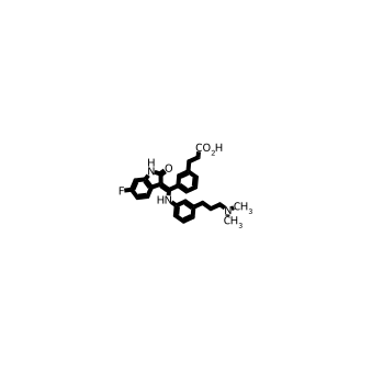 CN(C)CCCc1cccc(NC(=C2C(=O)Nc3cc(F)ccc32)c2cccc(CCC(=O)O)c2)c1